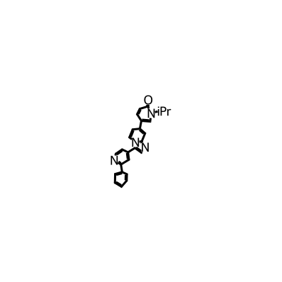 CC(C)n1cc(-c2ccn3c(-c4ccnc(-c5ccccc5)c4)cnc3c2)ccc1=O